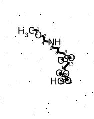 CCOCCNCCCCS(=O)(=O)CCOS(=O)(=O)O